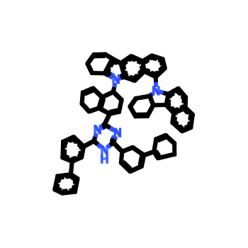 C1=CC(C2=NC(C3=CCC(n4c5c(c6cc7cccc(N8c9ccc%10ccccc%10c9C9C=CCCC98)c7cc64)C=CCC5)C4=C3CCC=C4)=NC(c3cccc(-c4ccccc4)c3)N2)CC(C2=CCCC=C2)=C1